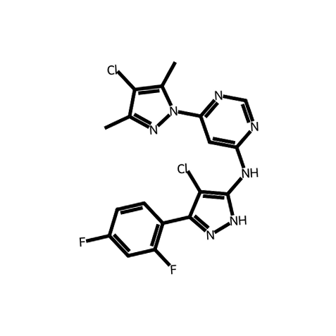 Cc1nn(-c2cc(Nc3[nH]nc(-c4ccc(F)cc4F)c3Cl)ncn2)c(C)c1Cl